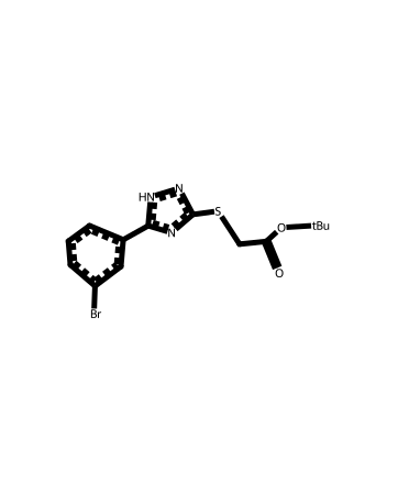 CC(C)(C)OC(=O)CSc1n[nH]c(-c2cccc(Br)c2)n1